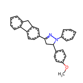 COc1ccc(C2CC(c3ccc4c(c3)Cc3ccccc3-4)=NN2c2ccccc2)cc1